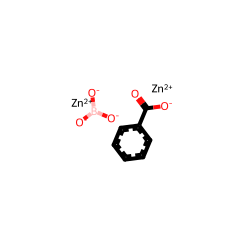 O=C([O-])c1ccccc1.[O-]B([O-])[O-].[Zn+2].[Zn+2]